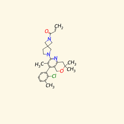 C=CC(=O)N1CC2(CCN(c3nc4c(c(-c5cccc(C)c5Cl)c3C)COC(C)(C)C4)C2)C1